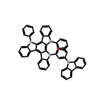 c1ccc(-n2c3ccccc3c3c4c5ccccc5n(-c5cccc(-n6c7ccccc7c7ccccc76)c5)c4c4c(c5ccccc5n4-c4ccccc4)c32)cc1